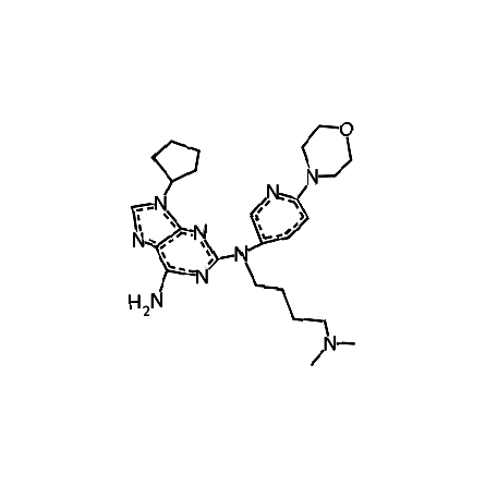 CN(C)CCCCN(c1ccc(N2CCOCC2)nc1)c1nc(N)c2ncn(C3CCCC3)c2n1